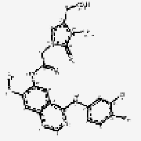 CCOc1cc2ncnc(Nc3ccc(F)c(Cl)c3)c2cc1NC(=O)Cn1cc(CC(=O)O)n(C)c1=S